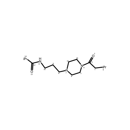 CC(C)CC(=O)N1CCN(CCCNC(=O)C(C)C)CC1